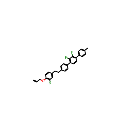 C=CCOc1ccc(CCc2ccc(-c3ccc(-c4ccc(C)cc4)c(F)c3F)cc2)cc1F